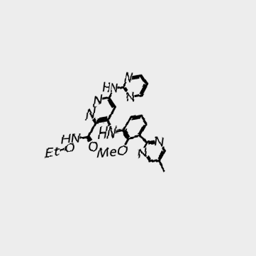 CCONC(=O)c1nnc(Nc2ncccn2)cc1Nc1cccc(-c2ncc(C)cn2)c1OC